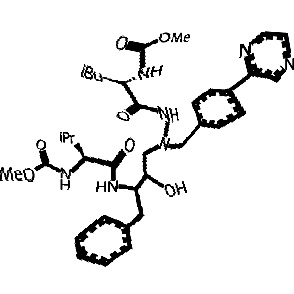 CC[C@H](C)[C@H](NC(=O)OC)C(=O)NN(Cc1ccc(-c2cnccn2)cc1)CC(O)C(Cc1ccccc1)NC(=O)[C@@H](NC(=O)OC)C(C)C